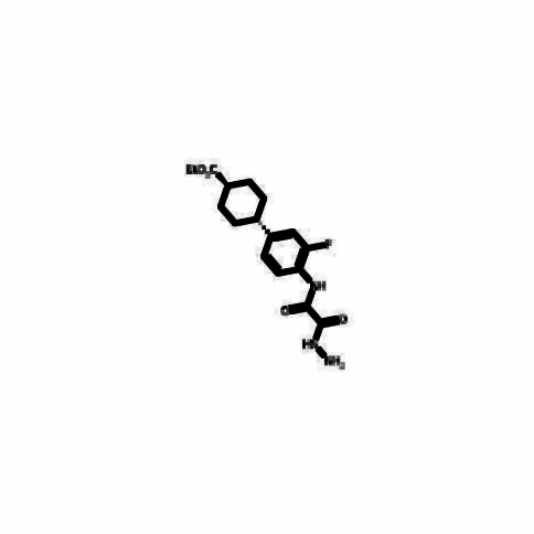 CCOC(=O)[C@H]1CC[C@H](c2ccc(NC(=O)C(=O)NN)c(F)c2)CC1